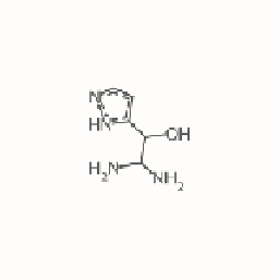 NC(N)C(O)c1ccn[nH]1